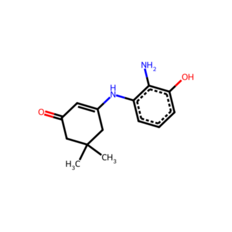 CC1(C)CC(=O)C=C(Nc2cccc(O)c2N)C1